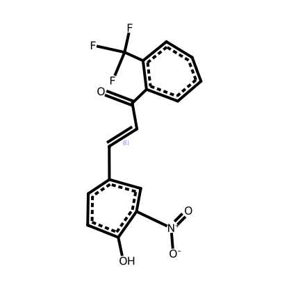 O=C(/C=C/c1ccc(O)c([N+](=O)[O-])c1)c1ccccc1C(F)(F)F